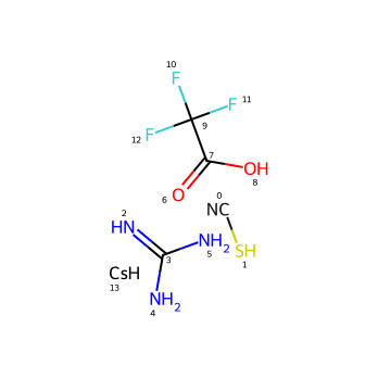 N#CS.N=C(N)N.O=C(O)C(F)(F)F.[CsH]